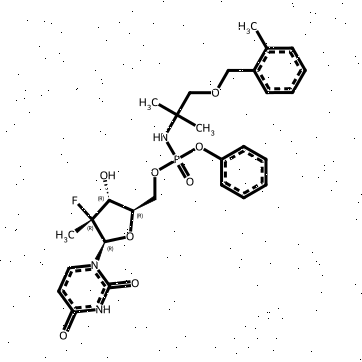 Cc1ccccc1COCC(C)(C)NP(=O)(OC[C@H]1O[C@@H](n2ccc(=O)[nH]c2=O)[C@](C)(F)[C@@H]1O)Oc1ccccc1